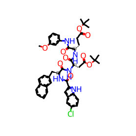 COc1cccc(NC(=O)[C@H](CCC(=O)OC(C)(C)C)NC(=O)[C@H](CC(=O)OC(C)(C)C)NC(=O)[C@H](Cc2ccc3ccccc3c2)NC(=O)c2cc3cc(Cl)ccc3[nH]2)c1